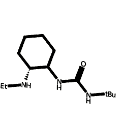 CCN[C@@H]1CCCCC1NC(=O)NC(C)(C)C